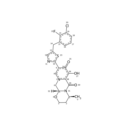 C[C@H]1CCO[C@@H]2Cn3cc(-c4ncc(Cc5cccc(Cl)c5F)s4)c(=O)c(O)c3C(=O)N12